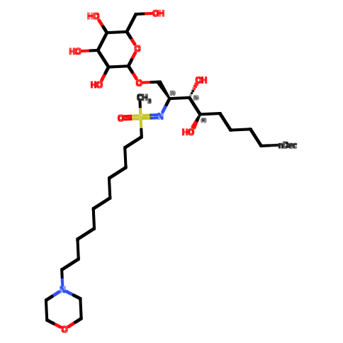 CCCCCCCCCCCCCC[C@@H](O)[C@@H](O)[C@H](COC1OC(CO)C(O)C(O)C1O)N=S(C)(=O)CCCCCCCCCCN1CCOCC1